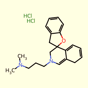 CN(C)CCCN1C=C2CC=CC=C2C2(Cc3ccccc3O2)C1.Cl.Cl